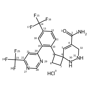 Cl.NC(=O)C1=CC2(CCC2c2ccc(C(F)(F)F)cc2-c2cc(C(F)(F)F)ncn2)NNC1